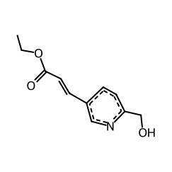 CCOC(=O)/C=C/c1ccc(CO)nc1